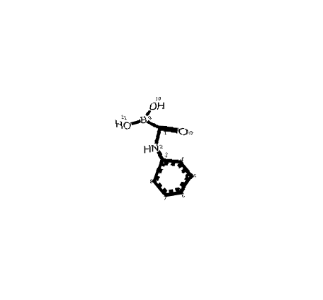 O=C(Nc1ccccc1)B(O)O